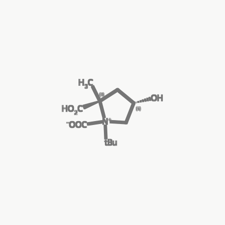 CC(C)(C)[N+]1(C(=O)[O-])C[C@@H](O)C[C@]1(C)C(=O)O